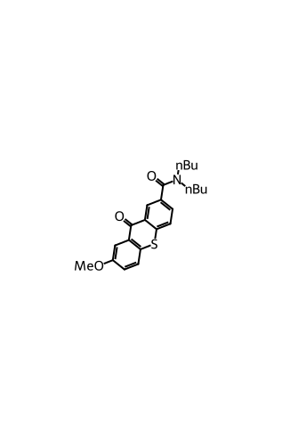 CCCCN(CCCC)C(=O)c1ccc2sc3ccc(OC)cc3c(=O)c2c1